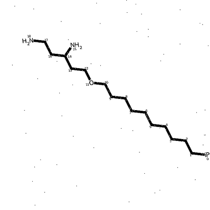 CC(C)CCCCCCCCCCOCCC(N)CCN